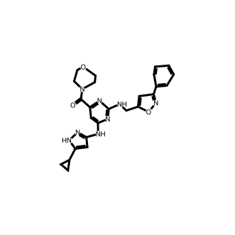 O=C(c1cc(Nc2cc(C3CC3)[nH]n2)nc(NCc2cc(-c3ccccc3)no2)n1)N1CCOCC1